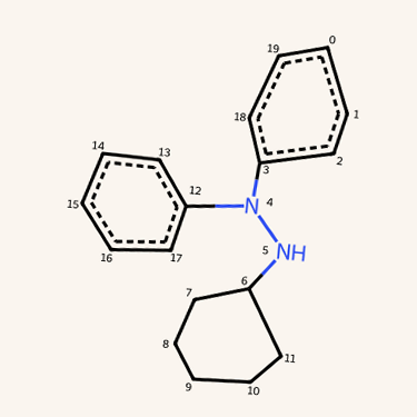 c1ccc(N(NC2CCCCC2)c2ccccc2)cc1